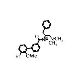 CCc1cccc(-c2cccc(C(=O)N[C@@H](Cc3ccccc3)CN(C)C)c2)c1OC